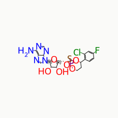 Nc1ncnc2c1ncn2[C@@H]1O[C@H](COP2(=S)OCCC(c3ccc(F)cc3Cl)O2)C(O)C1O